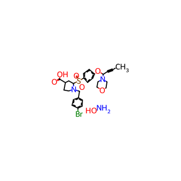 CC#CC(Oc1ccc(S(=O)(=O)C2CC(C(=O)O)CCN2Cc2ccc(Br)cc2)cc1)N1CCOCC1.NO